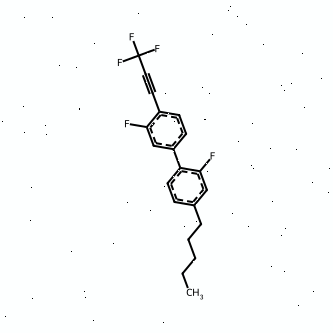 CCCCCc1ccc(-c2ccc(C#CC(F)(F)F)c(F)c2)c(F)c1